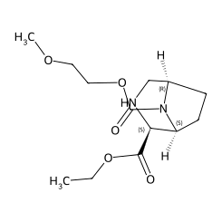 CCOC(=O)[C@H]1NC[C@H]2CC[C@@H]1N2C(=O)OCCOC